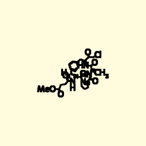 COC(=O)CCC(=O)N[C@H](C)C(=O)N1CCC[C@@H]1C(=O)N[C@@H](C)C(=O)N[C@@H](Cc1ccccc1)C(=O)CCl